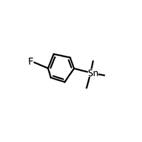 [CH3][Sn]([CH3])([CH3])[c]1ccc(F)cc1